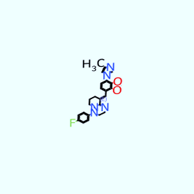 Cc1cn(-c2ccc(/C=C3\CCCN4C3=NCCN4c3ccc(F)cc3)c3c2OCO3)cn1